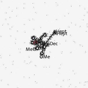 CCCCCCCCCCCCCC[C@@H](OCc1ccc(OC)cc1)[C@@H](OCc1ccc(OC)cc1)[C@H](CO[C@H]1OC(COCc2ccccc2)[C@H](OCc2ccccc2)[C@H](OCc2ccccc2)[C@H]1OCc1ccccc1)NC(=O)CCCCCCCCCCN(CCCCCCC)CCCCCCC